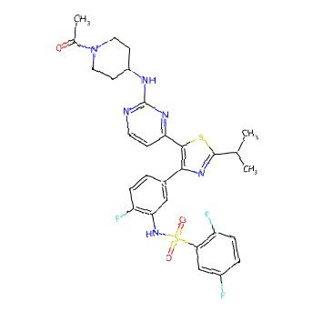 CC(=O)N1CCC(Nc2nccc(-c3sc(C(C)C)nc3-c3ccc(F)c(NS(=O)(=O)c4cc(F)ccc4F)c3)n2)CC1